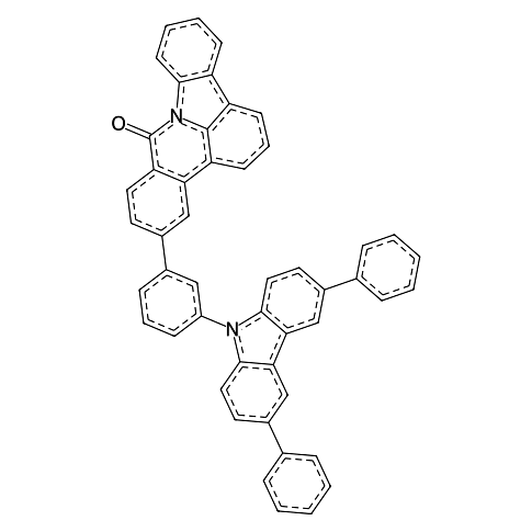 O=c1c2ccc(-c3cccc(-n4c5ccc(-c6ccccc6)cc5c5cc(-c6ccccc6)ccc54)c3)cc2c2cccc3c4ccccc4n1c23